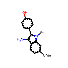 CCn1c(-c2ccc(O)cc2)c(N)c2ccc(OC)cc21